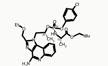 CCOCc1nc2c(N)nc3ccccc3c2n1C[C@@H](C)O[P@@](=O)(N[C@@H](C)C(=O)OCC(C)(C)C)Oc1ccc(Cl)cc1